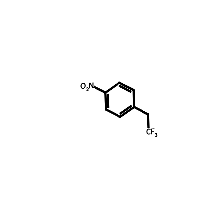 O=[N+]([O-])c1ccc(CC(F)(F)F)cc1